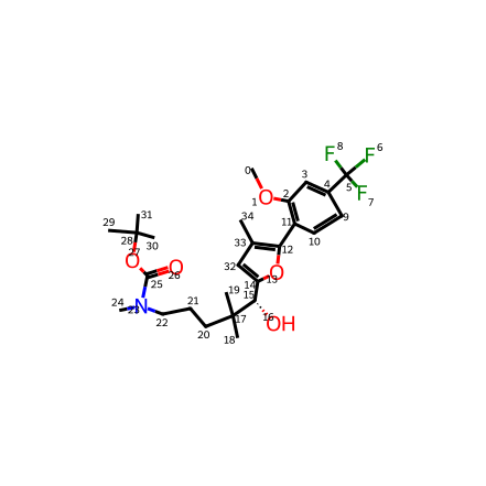 COc1cc(C(F)(F)F)ccc1-c1oc([C@H](O)C(C)(C)CCCN(C)C(=O)OC(C)(C)C)cc1C